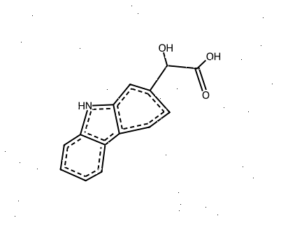 O=C(O)C(O)c1ccc2c(c1)[nH]c1ccccc12